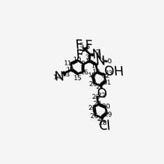 Cn1nc(C(F)(F)F)c(-c2ccc(C#N)cc2)c1-c1ccc(OCc2ccc(Cl)cc2)cc1O